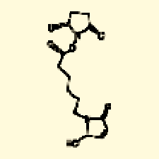 O=C(CCCCCN1C(=O)C=CC1O)ON1C(=O)CCC1=O